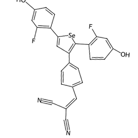 N#CC(C#N)=Cc1ccc(-c2cc(-c3ccc(O)cc3F)[se]c2-c2ccc(O)cc2F)cc1